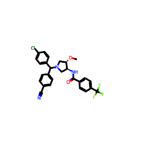 CO[C@H]1CN(C(c2ccc(Cl)cc2)c2ccc(C#N)cc2)C[C@@H]1NC(=O)c1ccc(C(F)(F)F)cc1